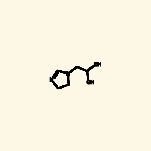 OC(O)CN1C=NCC1